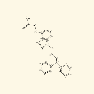 O=C(O)COc1cccc2c(COCC(c3ccccc3)c3ccccc3)coc12